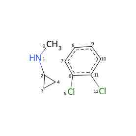 CNC1CC1.Clc1ccccc1Cl